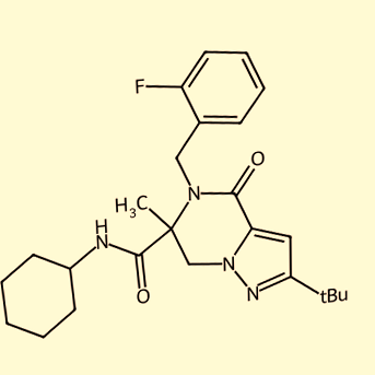 CC(C)(C)c1cc2n(n1)CC(C)(C(=O)NC1CCCCC1)N(Cc1ccccc1F)C2=O